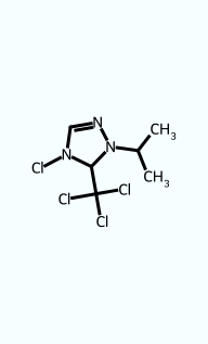 CC(C)N1N=CN(Cl)C1C(Cl)(Cl)Cl